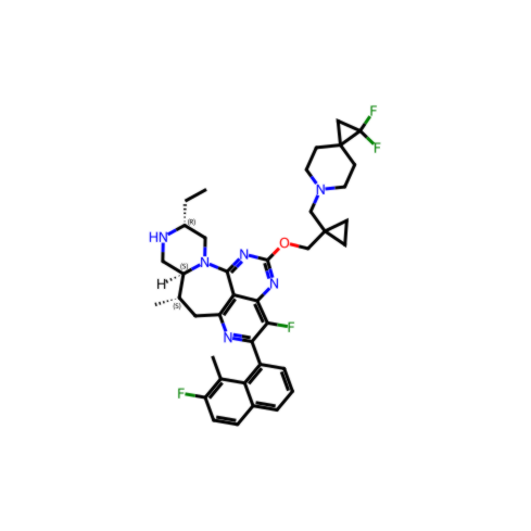 CC[C@@H]1CN2c3nc(OCC4(CN5CCC6(CC5)CC6(F)F)CC4)nc4c(F)c(-c5cccc6ccc(F)c(C)c56)nc(c34)C[C@H](C)[C@H]2CN1